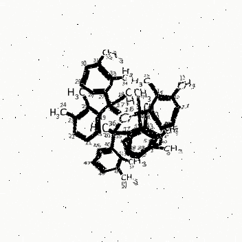 Cc1cccc([C](C)(c2cccc(C)c2C)[Cr]([C](C)(c2cccc(C)c2C)c2cccc(C)c2C)[C](C)(c2cccc(C)c2C)c2cccc(C)c2C)c1C